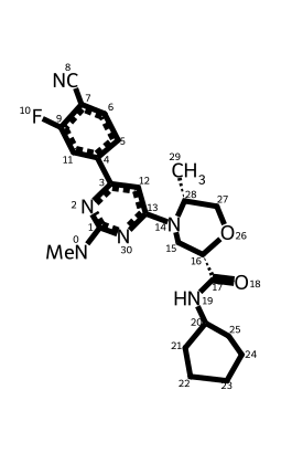 CNc1nc(-c2ccc(C#N)c(F)c2)cc(N2C[C@@H](C(=O)NC3CCCCC3)OC[C@H]2C)n1